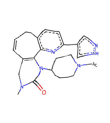 CC(=O)N1CCC(N2C(=O)N(C)CC3=C2c2nc(-c4cn[nH]c4)ccc2CC=C3)CC1